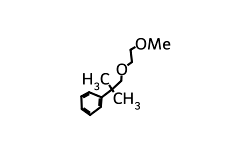 COCCOCC(C)(C)c1ccccc1